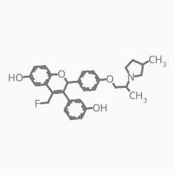 CC1CCN(C(C)COc2ccc(C3Oc4ccc(O)cc4C(CF)=C3c3cccc(O)c3)cc2)C1